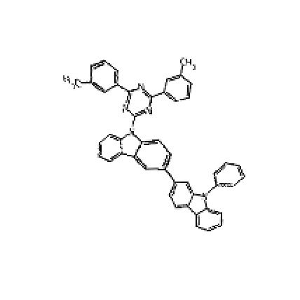 Cc1cccc(-c2nc(-c3cccc(C)c3)nc(-n3c4ccccc4c4cc(-c5ccc6c7ccccc7n(-c7ccccc7)c6c5)ccc43)n2)c1